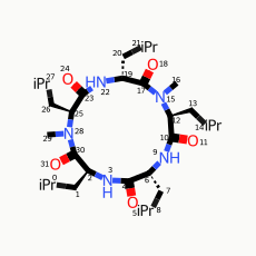 CC(C)C[C@@H]1NC(=O)[C@@H](CC(C)C)NC(=O)[C@H](CC(C)C)N(C)C(=O)[C@@H](CC(C)C)NC(=O)[C@H](CC(C)C)N(C)C1=O